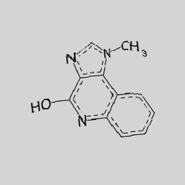 Cn1cnc2c(O)nc3ccccc3c21